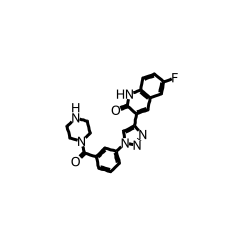 O=C(c1cccc(-n2cc(-c3cc4cc(F)ccc4[nH]c3=O)nn2)c1)N1CCNCC1